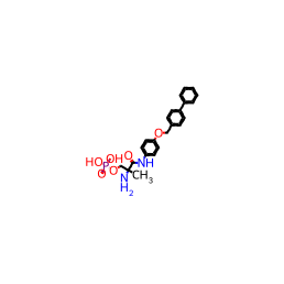 CC(N)(COP(=O)(O)O)C(=O)Nc1ccc(OCc2ccc(-c3ccccc3)cc2)cc1